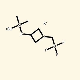 CC(C)(C)[Si](C)(C)OC1CN(C[B-](F)(F)F)C1.[K+]